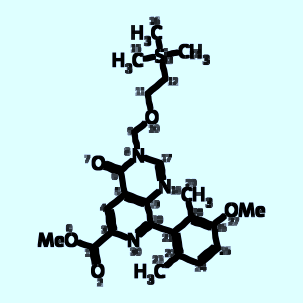 COC(=O)c1cc2c(=O)n(COCC[Si](C)(C)C)cnc2c(-c2c(C)ccc(OC)c2C)n1